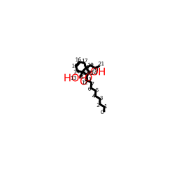 CCCCCCCCCCC1(C(=O)O)CC=CCC1(CCC)C(=O)O